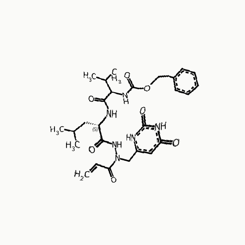 C=CC(=O)N(Cc1cc(=O)[nH]c(=O)[nH]1)NC(=O)[C@H](CC(C)C)NC(=O)C(NC(=O)OCc1ccccc1)C(C)C